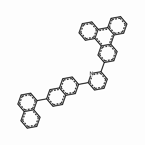 c1cc(-c2ccc3cc(-c4cccc5ccccc45)ccc3c2)nc(-c2ccc3c4ccccc4c4ccccc4c3c2)c1